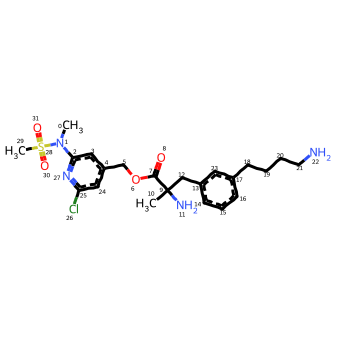 CN(c1cc(COC(=O)C(C)(N)Cc2cccc(CCCCN)c2)cc(Cl)n1)S(C)(=O)=O